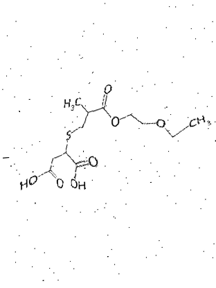 CCOCCOC(=O)C(C)CSC(CC(=O)O)C(=O)O